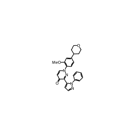 COc1cc(C2CCOCC2)ccc1-n1ccc(=O)c(-c2ccnn2-c2ccccc2)n1